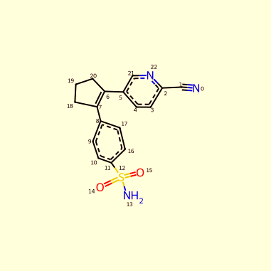 N#Cc1ccc(C2=C(c3ccc(S(N)(=O)=O)cc3)CCC2)cn1